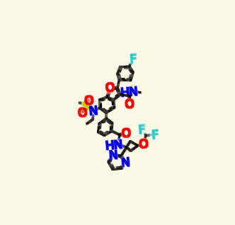 CCN(c1cc2oc(-c3ccc(F)cc3)c(C(=O)NC)c2cc1-c1cccc(C(=O)NC2(c3ncccn3)CC(OC(F)F)C2)c1)S(C)(=O)=O